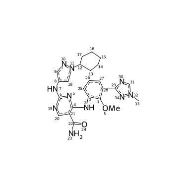 COc1c(Nc2nc(Nc3cnn(C4CCCCC4)c3)ncc2C(N)=O)cccc1-c1ncn(C)n1